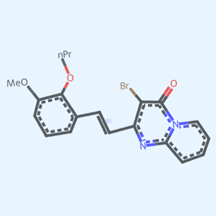 CCCOc1c(/C=C/c2nc3ccccn3c(=O)c2Br)cccc1OC